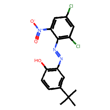 CC(C)(C)c1ccc(O)c(/N=N/c2c(Cl)cc(Cl)cc2[N+](=O)[O-])c1